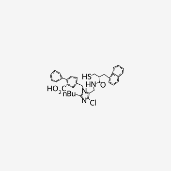 CCCCc1nc(Cl)c(CNC(=O)C(CS)Cc2cccc3ccccc23)n1Cc1ccc(-c2ccccc2)c(C(=O)O)c1